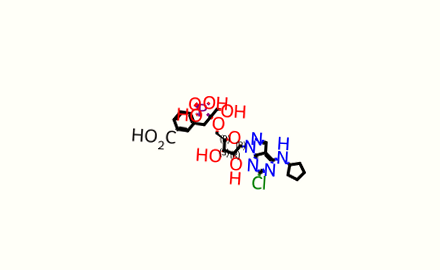 O=C(O)c1cccc(CC(CO)(OC[C@H]2O[C@@H](n3ncc4c(NC5CCCC5)nc(Cl)nc43)[C@H](O)[C@@H]2O)P(=O)(O)O)c1